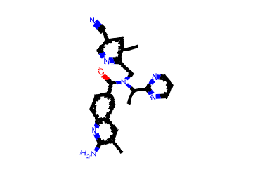 Cc1cc2cc(C(=O)N(Cc3ncc(C#N)cc3C)C(C)c3ncccn3)ccc2nc1N